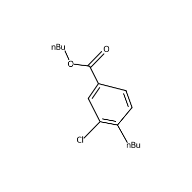 CCCCOC(=O)c1ccc(CCCC)c(Cl)c1